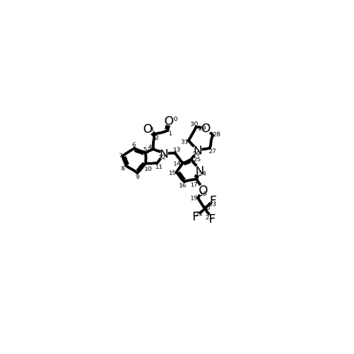 O=CC(=O)C1c2ccccc2CN1Cc1ccc(OCC(F)(F)F)nc1N1CCOCC1